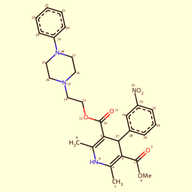 COC(=O)C1=C(C)NC(C)=C(C(=O)OCCN2CCN(c3ccccc3)CC2)C1c1cccc([N+](=O)[O-])c1